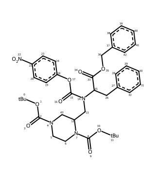 CC(C)(C)OC(=O)N1CCN(C(=O)OC(C)(C)C)C(CN(C(=O)Oc2ccc([N+](=O)[O-])cc2)C(Cc2ccccc2)C(=O)OCc2ccccc2)C1